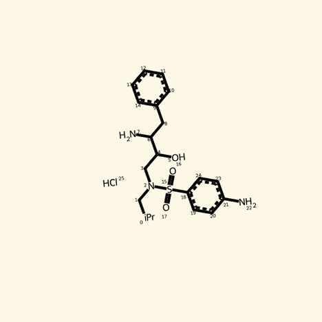 CC(C)CN(CC(O)C(N)Cc1ccccc1)S(=O)(=O)c1ccc(N)cc1.Cl